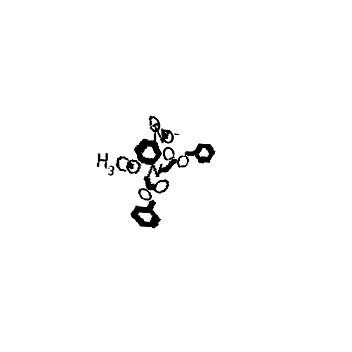 COc1ccc([N+](=O)[O-])cc1N(CC(=O)OCc1ccccc1)CC(=O)OCc1ccccc1